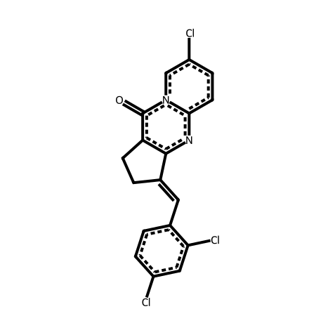 O=c1c2c(nc3ccc(Cl)cn13)C(=Cc1ccc(Cl)cc1Cl)CC2